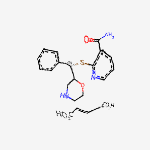 NC(=O)c1cccnc1S[C@@H](c1ccccc1)C1CNCCO1.O=C(O)C=CC(=O)O